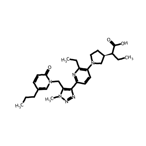 CCCc1ccc(=O)n(Cc2c(-c3ccc(N4CC[C@@H](C(CC)C(=O)O)C4)c(CC)n3)nnn2C)c1